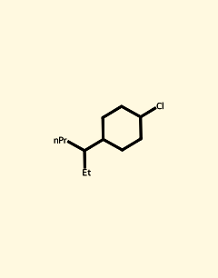 CCCC(CC)C1CCC(Cl)CC1